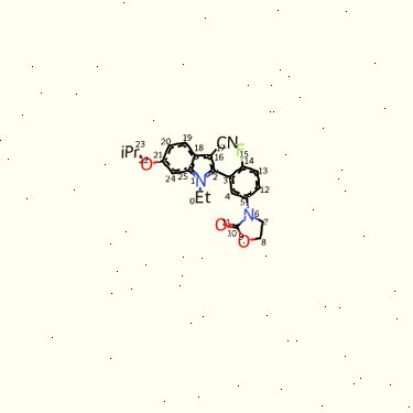 CCn1c(-c2cc(N3CCOC3=O)ccc2F)c(C#N)c2ccc(OC(C)C)cc21